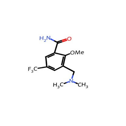 COc1c(CN(C)C)cc(C(F)(F)F)cc1C(N)=O